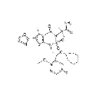 COc1ccc(F)cc1[C@H](CN1c2sc(-c3ncco3)c(C)c2C(=O)N(C(C)(C)C(N)=O)S1(=O)=O)OC1CCCCC1